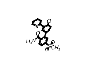 CS(=O)(=O)c1ccc(C(N)=O)c(-c2ccc(Cl)c(-c3ccccn3)c2)c1